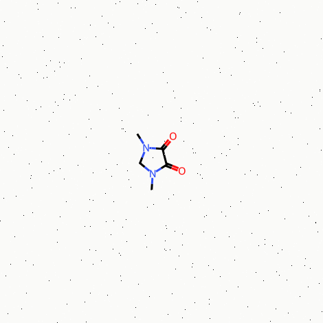 CN1CN(C)C(=O)C1=O